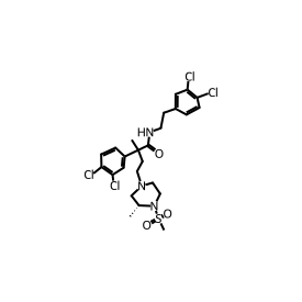 C[C@@H]1CN(CCC(C)(C(=O)NCCc2ccc(Cl)c(Cl)c2)c2ccc(Cl)c(Cl)c2)CCN1S(C)(=O)=O